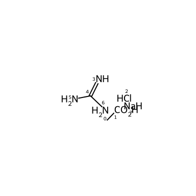 CC(=O)O.Cl.N=C(N)N.[NaH]